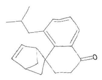 CC(C)Cc1cccc2c1C1(CCC2=O)CC2C=CC1C2